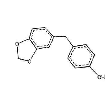 Oc1ccc(Cc2ccc3c(c2)OCO3)cc1